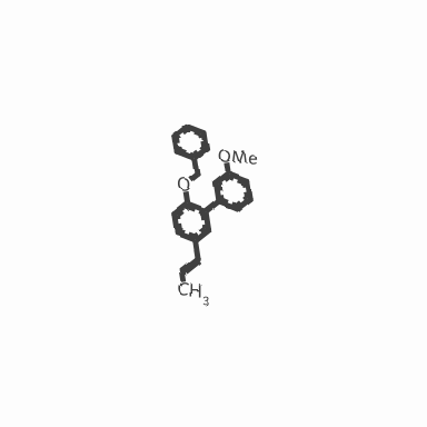 CC=Cc1ccc(OCc2ccccc2)c(-c2cccc(OC)c2)c1